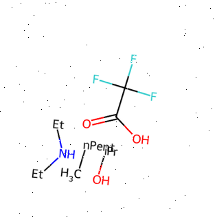 CC(C)O.CCCCCC.CCNCC.O=C(O)C(F)(F)F